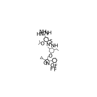 CCC1CC(OCc2c(-c3ccccc3OC(F)(F)F)noc2C2CC2)CC(C)C1Nc1nc2c(OC(C)C)cc(C(=N)NN)cc2s1